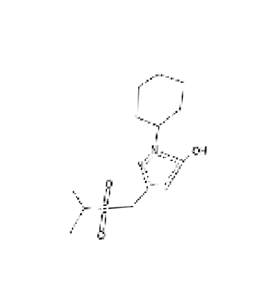 CC(C)S(=O)(=O)Cc1cc(O)n(C2CCCCC2)n1